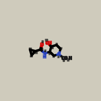 O=C(NC1CN(C(=O)O)CCC1O)C1CC1